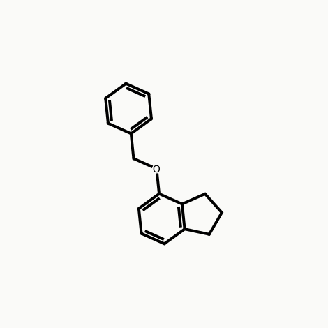 c1ccc(COc2cccc3c2CCC3)cc1